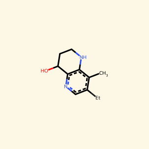 CCc1cnc2c(c1C)NCCC2O